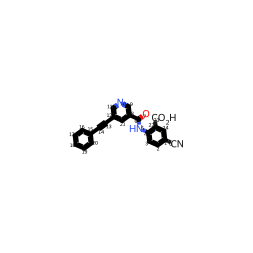 N#Cc1ccc(NC(=O)c2cncc(C#Cc3ccccc3)c2)c(C(=O)O)c1